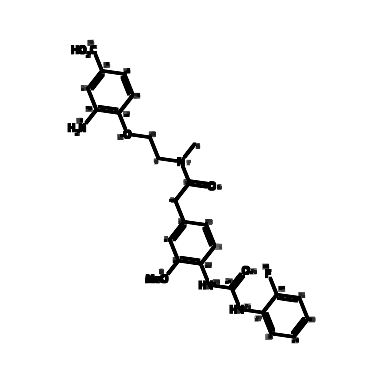 COc1cc(CC(=O)N(C)CCOc2ccc(C(=O)O)cc2N)ccc1NC(=O)Nc1ccccc1F